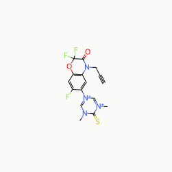 C#CCN1C(=O)C(F)(F)Oc2cc(F)c(-[n+]3cn(C)c(=S)[n+](C)c3)cc21